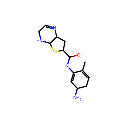 CC1=CCC(N)C=C1NC(O)C1CC2N=CCNC2S1